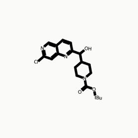 CC(C)(C)OC(=O)N1CCC(C(O)c2ccc3cnc(Cl)cc3n2)CC1